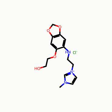 Cn1cc[n+](CCNc2cc3c(cc2OCCO)OCO3)c1.[Cl-]